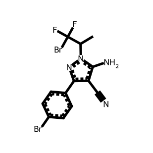 CC(n1nc(-c2ccc(Br)cc2)c(C#N)c1N)C(F)(F)Br